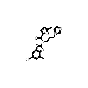 Cc1ccc(C(=O)N(CCCn2ccnc2)c2nc3c(C)cc(Cl)cc3s2)o1